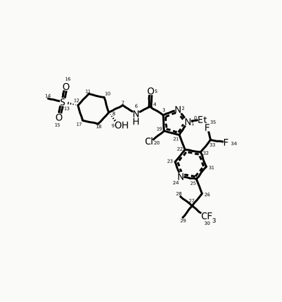 CCn1nc(C(=O)NC[C@]2(O)CC[C@@H](S(C)(=O)=O)CC2)c(Cl)c1-c1cnc(CC(C)(C)C(F)(F)F)cc1C(F)F